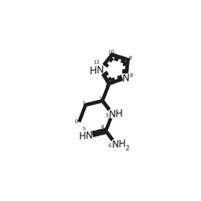 CCC(NC(=N)N)c1ncc[nH]1